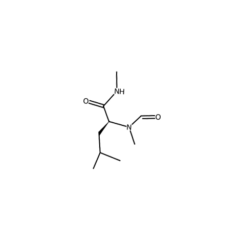 CNC(=O)[C@H](CC(C)C)N(C)C=O